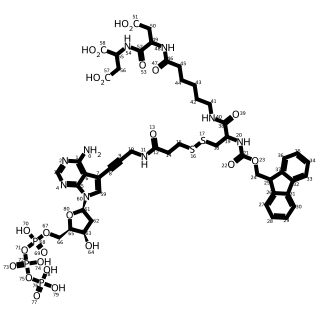 Nc1ncnc2c1c(C#CCNC(=O)CCSSCC(NC(=O)OCC1c3ccccc3-c3ccccc31)C(=O)NCCCCCC(=O)NC(CC(=O)O)C(=O)NC(CC(=O)O)C(=O)O)cn2[C@H]1C[C@@H](O)[C@@H](COP(=O)(O)OP(=O)(O)OP(=O)(O)O)O1